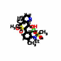 CCN(c1c(C)ccc(C2=C(O)c3ncccc3C(C)(C)S2(=O)=O)c1Cl)S(C)(=O)=O